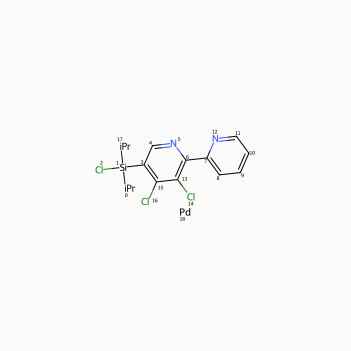 CC(C)[Si](Cl)(c1cnc(-c2ccccn2)c(Cl)c1Cl)C(C)C.[Pd]